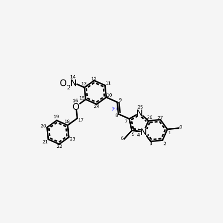 Cc1ccn2c(C)c(/C=C/c3ccc([N+](=O)[O-])c(OCc4ccccc4)c3)nc2c1